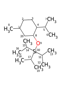 CC1CCC(C(C)C)C(O[Si](C(C)C)(C(C)C)C(C)C)C1